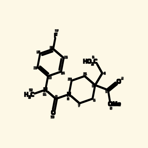 COC(=O)C1(CC(=O)O)CCN(C(=O)N(C)c2ccc(F)cc2)CC1